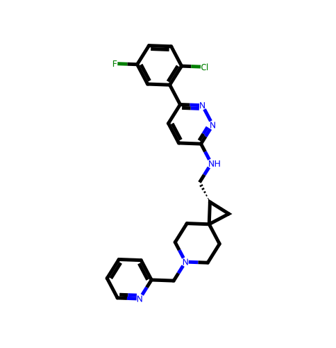 Fc1ccc(Cl)c(-c2ccc(NC[C@@H]3CC34CCN(Cc3ccccn3)CC4)nn2)c1